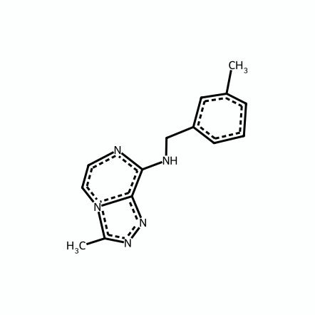 Cc1cccc(CNc2nccn3c(C)nnc23)c1